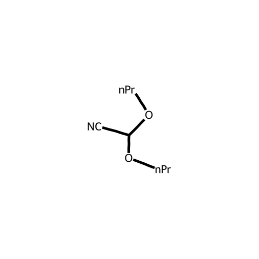 CCCOC(C#N)OCCC